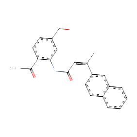 COC(=O)c1ccc(CO)cc1NC(=O)/C=C(/C)c1ccc2ccccc2c1